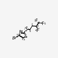 FC(F)C(F)CCSc1nc(Br)cs1